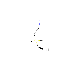 C=CS(C)(C)CCN